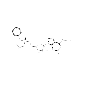 CCOC(=O)[C@H](C)NP(=O)(OCC1O[C@@H](n2cnc3c(NOC)nc(N)nc32)[C@](C)(O)[C@@H]1O)Oc1ccccc1